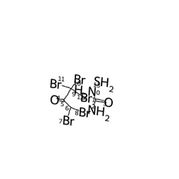 NC(N)=O.O=C(C(Br)Br)C(Br)(Br)Br.S